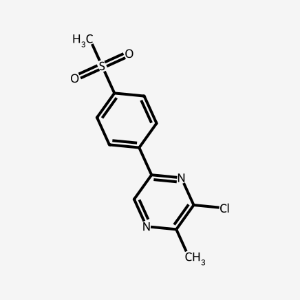 Cc1ncc(-c2ccc(S(C)(=O)=O)cc2)nc1Cl